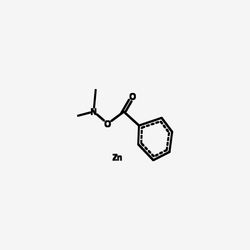 CN(C)OC(=O)c1ccccc1.[Zn]